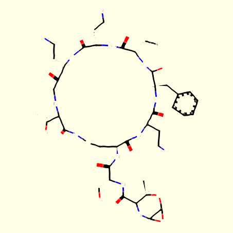 CC(C)C[C@@H]1NC(O)[C@@H](Cc2ccccc2)NC(=O)C(CCN)NC(=O)[C@@H](NC(=O)[C@@H](CO)NC(=O)C2NC3OC3O[C@@H]2C)CCNC(=O)C([C@@H](C)O)NCC(=O)[C@H](CCN)NC(=O)[C@H](CCN)NC1=O